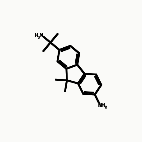 CC(C)(N)c1ccc2c(c1)C(C)(C)c1cc(N)ccc1-2